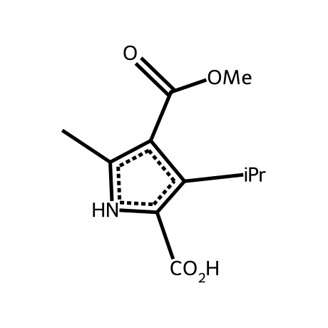 COC(=O)c1c(C)[nH]c(C(=O)O)c1C(C)C